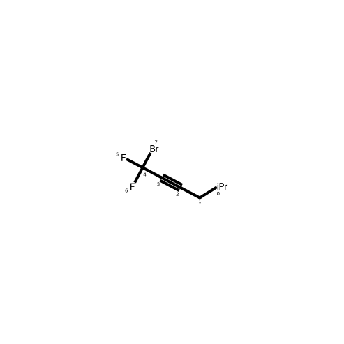 CC(C)CC#CC(F)(F)Br